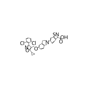 O=C(O)c1nsc2cc(N3CCc4cc(OCc5c(-c6c(Cl)cccc6Cl)noc5C5CC5)ccc4C3)ccc12